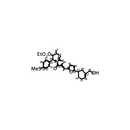 CCOC(=O)C1C(C)N=c2s/c(=C\c3ccc(C4CCC=C(CO)C4)o3)c(=O)n2C1c1ccc(SC)cc1